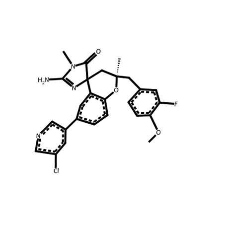 COc1ccc(C[C@]2(C)CC3(N=C(N)N(C)C3=O)c3cc(-c4cncc(Cl)c4)ccc3O2)cc1F